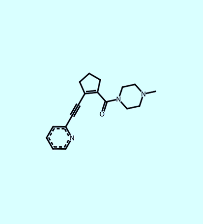 CN1CCN(C(=O)C2=C(C#Cc3ccccn3)CCC2)CC1